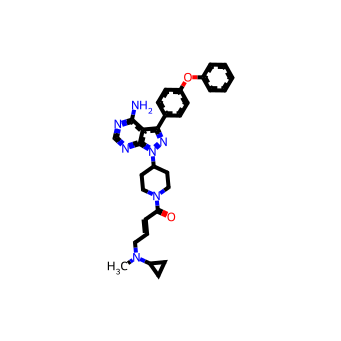 CN(C/C=C/C(=O)N1CCC(n2nc(-c3ccc(Oc4ccccc4)cc3)c3c(N)ncnc32)CC1)C1CC1